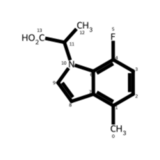 Cc1ccc(F)c2c1ccn2C(C)C(=O)O